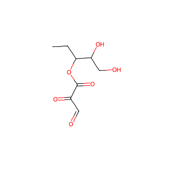 CCC(OC(=O)C(=O)C=O)C(O)CO